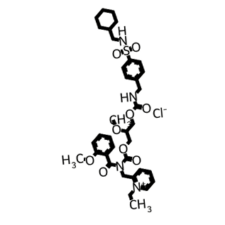 CC[n+]1ccccc1CN(C(=O)OCC(COC(=O)NCc1ccc(S(=O)(=O)NCC2CCCCC2)cc1)OC)C(=O)c1ccccc1OC.[Cl-]